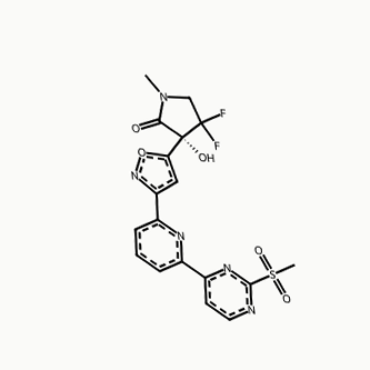 CN1CC(F)(F)[C@@](O)(c2cc(-c3cccc(-c4ccnc(S(C)(=O)=O)n4)n3)no2)C1=O